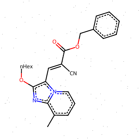 CCCCCCOc1nc2c(C)cccn2c1C=C(C#N)C(=O)OCc1ccccc1